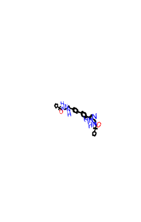 CC(C)(C(=O)NCc1ncc(-c2ccc(-c3ccc(-c4cnc(CNC(=O)C(C)(C)C5CCCC5)[nH]4)cc3)cc2)[nH]1)C1CCCC1